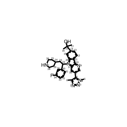 Cc1nnn(C)c1-c1cnc2c3ccc(C(C)(C)O)cc3n(C(CC3CCNCC3)c3cccc(F)c3)c2c1